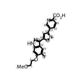 COCCOc1cc2[nH]nc(-c3cc(-c4ccc(C(=O)O)nc4)no3)c2cc1F